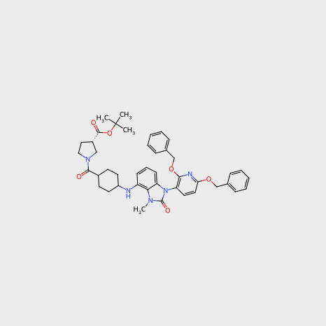 Cn1c(=O)n(-c2ccc(OCc3ccccc3)nc2OCc2ccccc2)c2cccc(NC3CCC(C(=O)N4CC[C@H](C(=O)OC(C)(C)C)C4)CC3)c21